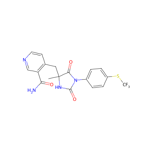 CC1(Cc2ccncc2C(N)=O)NC(=O)N(c2ccc(SC(F)(F)F)cc2)C1=O